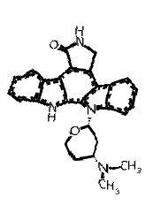 CN(C)[C@@H]1CCO[C@H](n2c3ccccc3c3c4c(c5c6ccccc6[nH]c5c32)C(=O)NC4)C1